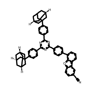 N#Cc1ccc2oc3c(-c4ccc(-c5nc(-c6ccc(C78CC9C[C@H](C7)C[C@@H](C9)C8)cc6)nc(-c6ccc(C78C[C@H]9C[C@@H](C7)C[C@@H](C8)C9)cc6)n5)cc4)cccc3c2c1